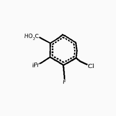 CC(C)c1c(C(=O)O)ccc(Cl)c1F